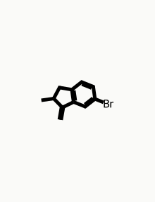 C=C1c2cc(Br)ccc2CC1C